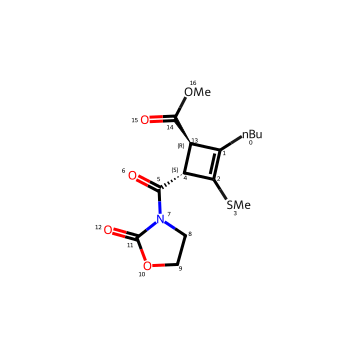 CCCCC1=C(SC)[C@H](C(=O)N2CCOC2=O)[C@H]1C(=O)OC